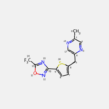 Cc1cnc(Cc2ccc(-c3noc(C(F)(F)F)n3)s2)cn1